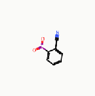 N#Cc1ccccc1I(=O)=O